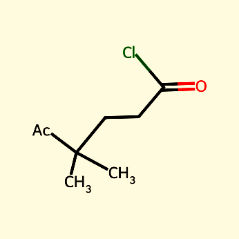 CC(=O)C(C)(C)CCC(=O)Cl